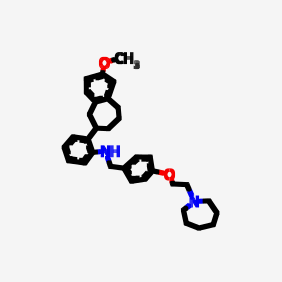 COc1ccc2c(c1)CCCC(c1ccccc1NCc1ccc(OCCN3CCCCCC3)cc1)C2